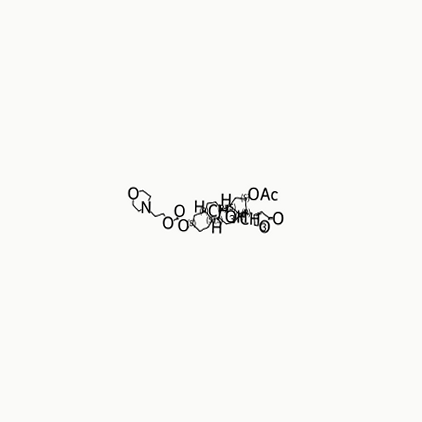 CC(=O)O[C@H]1C[C@]2(O)[C@@H]3CC[C@@H]4C[C@@H](OC(=O)OCCN5CCOCC5)CC[C@]4(C)[C@H]3CC[C@]2(C)[C@H]1C1=CC(=O)OC1